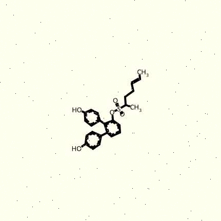 CC=CCCC(C)S(=O)(=O)Oc1cccc(-c2ccc(O)cc2)c1-c1ccc(O)cc1